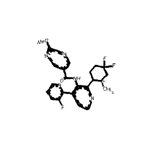 COc1ncc(C(=O)Nc2c(-c3ncccc3F)ccnc2C2CCC(F)(F)C[C@H]2C)cn1